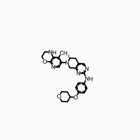 Cc1c(N2CCc3cnc(Nc4ccc(OC5CCOCC5)cc4)nc3C2)cnc2c1NCCO2